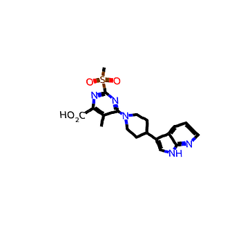 Cc1c(C(=O)O)nc(S(C)(=O)=O)nc1N1CCC(c2c[nH]c3ncccc23)CC1